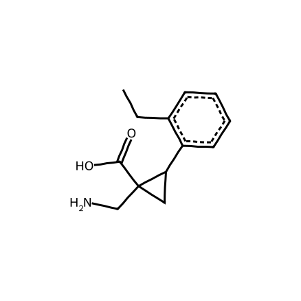 CCc1ccccc1C1CC1(CN)C(=O)O